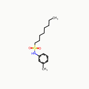 CCCCCCCCS(=O)(=O)Nc1cccc(C)c1